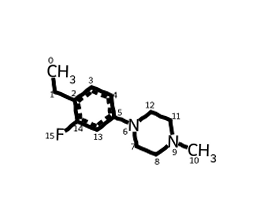 CCc1ccc(N2CCN(C)CC2)cc1F